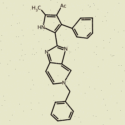 CC(=O)c1c(C)[nH]c(-c2nc3ccn(Cc4ccccc4)cc-3n2)c1-c1ccccc1